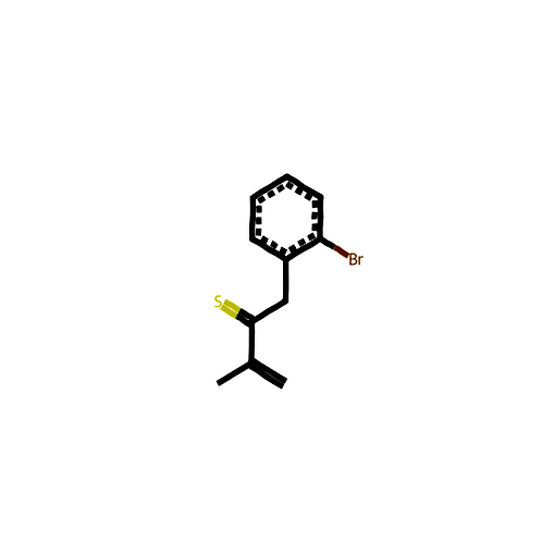 C=C(C)C(=S)Cc1ccccc1Br